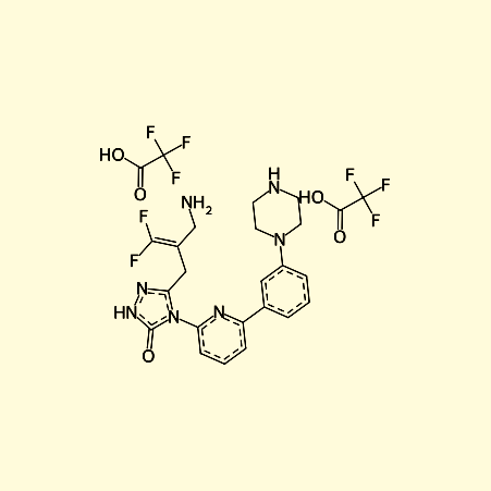 NCC(Cc1n[nH]c(=O)n1-c1cccc(-c2cccc(N3CCNCC3)c2)n1)=C(F)F.O=C(O)C(F)(F)F.O=C(O)C(F)(F)F